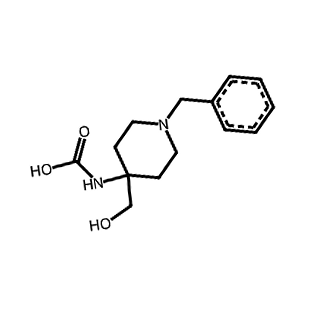 O=C(O)NC1(CO)CCN(Cc2ccccc2)CC1